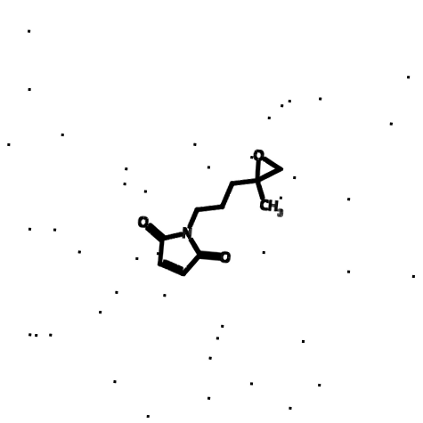 CC1(CCCN2C(=O)C=CC2=O)CO1